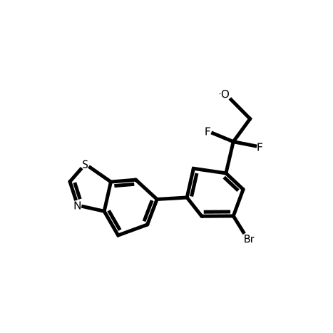 [O]CC(F)(F)c1cc(Br)cc(-c2ccc3ncsc3c2)c1